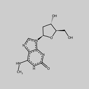 CNc1[nH]c(=O)nc2c1ncn2[C@H]1C[C@H](O)[C@@H](CO)O1